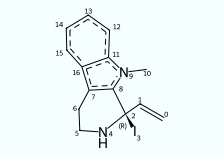 C=C[C@]1(I)NCCc2c1n(C)c1ccccc21